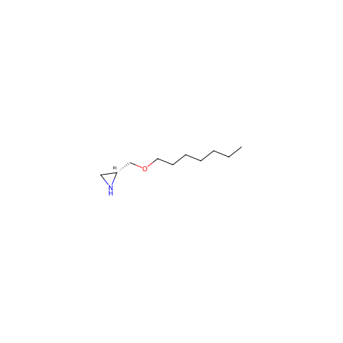 CCCCCCCOC[C@H]1CN1